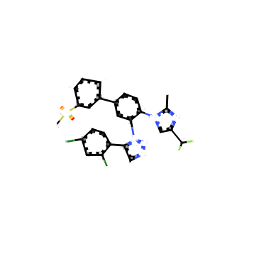 Cc1nc(C(F)F)cn1-c1ccc(-c2cccc(S(C)(=O)=O)c2)cc1-n1nncc1-c1ccc(Cl)cc1Cl